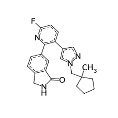 CC1(Cn2cc(-c3ccc(F)nc3-c3ccc4c(c3)C(=O)NC4)cn2)CCCC1